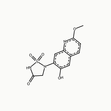 COc1ccc2cc(O)c(N3CC(=O)NS3(=O)=O)cc2n1